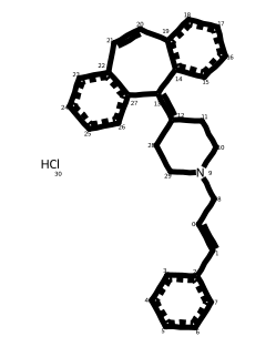 C(=Cc1ccccc1)CN1CCC(=C2c3ccccc3C=Cc3ccccc32)CC1.Cl